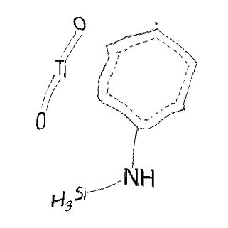 [O]=[Ti]=[O].[SiH3]Nc1cc[c]cc1